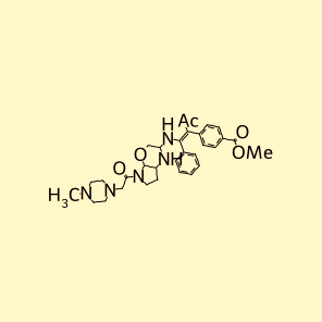 COC(=O)c1ccc(/C(C(C)=O)=C(/NC2COC3C(CCN3C(=O)CN3CCN(C)CC3)N2)c2ccccc2)cc1